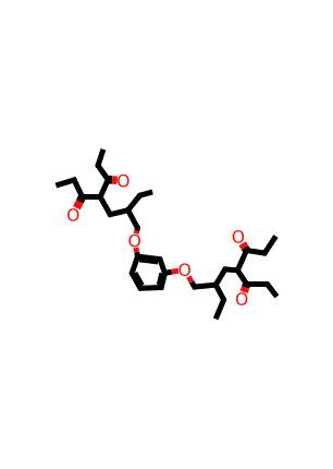 CCC(=O)C(CC(CC)COc1cccc(OCC(CC)CC(C(=O)CC)C(=O)CC)c1)C(=O)CC